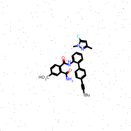 CC(C)(C)C#Cc1ccc(-c2ccccc2NC(=O)c2ccc(C(=O)O)cc2C(N)=O)cc1.Cc1cc(F)n(C)n1